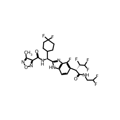 Cc1nonc1C(=O)N[C@H](c1nc2c(F)c([C@@H](C(=O)NCC(F)F)C(F)C(F)F)ccc2[nH]1)C1CCC(F)(F)CC1